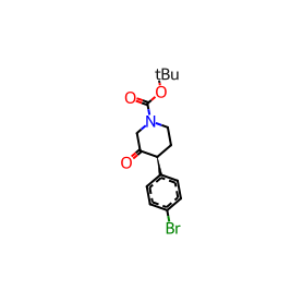 CC(C)(C)OC(=O)N1CC[C@@H](c2ccc(Br)cc2)C(=O)C1